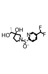 C[C@@H](O)C1(O)CCN([S+]([O-])c2ccc(C(F)F)cn2)C1